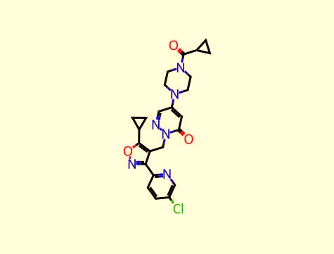 O=C(C1CC1)N1CCN(c2cnn(Cc3c(-c4ccc(Cl)cn4)noc3C3CC3)c(=O)c2)CC1